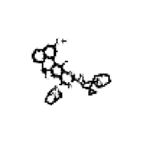 C#Cc1cccc2cc(O)cc(-c3c(F)cc4c(N5CC6CCC(C5)N6)nc(OCC5(CN6C7CCC6CC(CN)C7)CC5)nc4c3F)c12